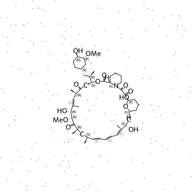 CO[C@@H]1C[C@H](C[C@@H](C)[C@@H]2CC(=O)[C@H](C)/C=C(\C)[C@@H](O)[C@@H](OC)C(=O)[C@H](C)C[C@H](C)/C=C/C=C/C=C(\C)[C@@H](O)C[C@@H]3CCC[C@@](O)(O3)C(=O)C(=O)N3CCCC[C@H]3C(=O)O2)CC[C@H]1O